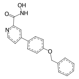 O=C(NO)c1cc(-c2ccc(OCc3ccccc3)cc2)ccn1